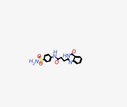 NS(=O)(=O)c1ccc(NC(=O)CCc2nc3ccccc3c(=O)[nH]2)cc1